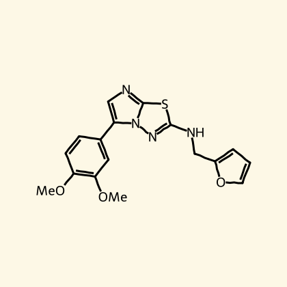 COc1ccc(-c2cnc3sc(NCc4ccco4)nn23)cc1OC